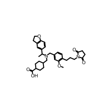 COc1cc(CN(CC2CCC(C(=O)O)CC2)C(C)c2ccc3c(c2)CCO3)ccc1CCCN1C(=O)CCC1=O